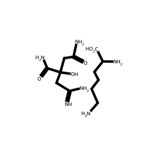 N=C(N)CC(O)(CC(N)=O)C(N)=O.NCCCCC(N)C(=O)O